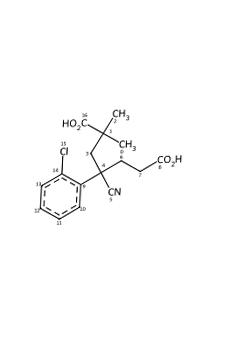 CC(C)(CC(C#N)(CCC(=O)O)c1ccccc1Cl)C(=O)O